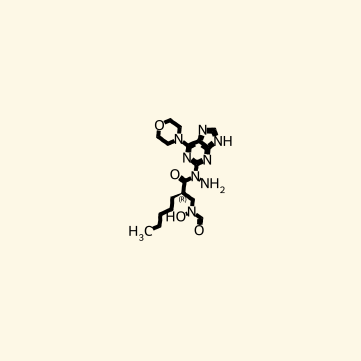 CCCCC[C@H](CN(O)C=O)C(=O)N(N)c1nc(N2CCOCC2)c2nc[nH]c2n1